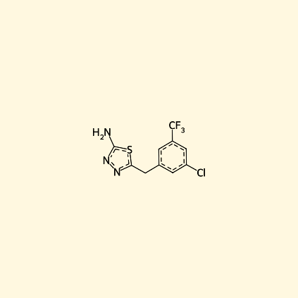 Nc1nnc(Cc2cc(Cl)cc(C(F)(F)F)c2)s1